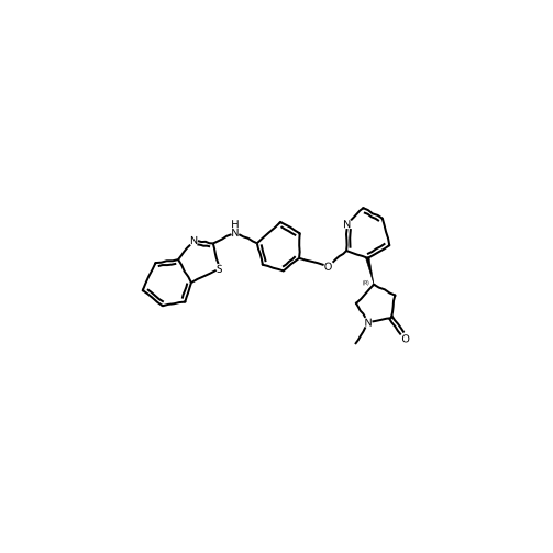 CN1C[C@@H](c2cccnc2Oc2ccc(Nc3nc4ccccc4s3)cc2)CC1=O